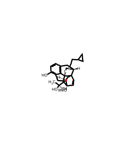 CO[C@@]12C=C[C@@]3(C[C@@H]1[C@](C)(O)C(C)(C)C)[C@H]1Cc4ccc(O)c5c4[C@@]3(CCN1CC1CC1)[C@H]2C5